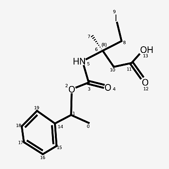 CC(OC(=O)N[C@@](C)(CI)CC(=O)O)c1ccccc1